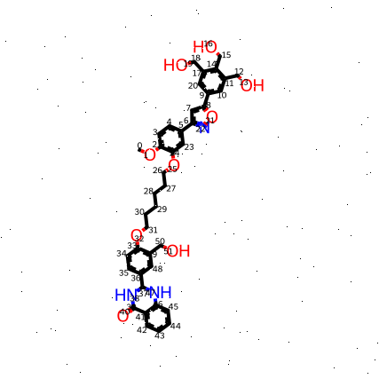 COc1ccc(-c2cc(-c3cc(CO)c(CO)c(CO)c3)on2)cc1OCCCCCCOc1ccc(C2NC(=O)c3ccccc3N2)cc1CO